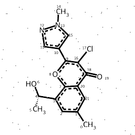 Cc1cc([C@H](C)O)c2oc(-c3cnn(C)c3)c(Cl)c(=O)c2c1